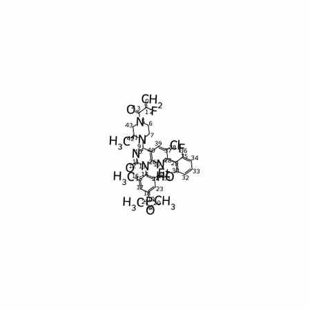 C=C(F)C(=O)N1CCN(c2nc(=O)n(-c3c(C)cc(P(C)(C)=O)cc3CC)c3nc(-c4c(O)cccc4F)c(Cl)cc23)[C@@H](C)C1